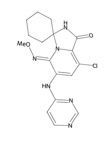 CO/N=c1/c(Nc2ccncn2)cc(Cl)c2n1C1(CCCCC1)NC2=O